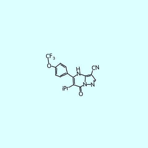 CC(C)c1c(-c2ccc(OC(F)(F)F)cc2)[nH]c2c(C#N)cnn2c1=O